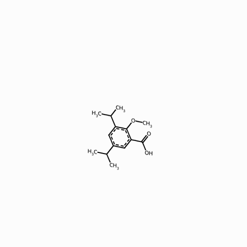 COc1c(C(=O)O)cc(C(C)C)cc1C(C)C